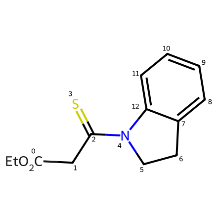 CCOC(=O)CC(=S)N1CCc2ccccc21